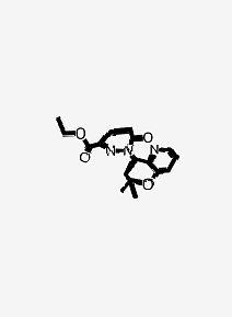 CCOC(=O)c1ccc(=O)n(C2=CC(C)(C)Oc3cccnc32)n1